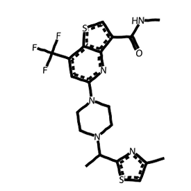 CNC(=O)c1csc2c(C(F)(F)F)cc(N3CCN(C(C)c4nc(C)cs4)CC3)nc12